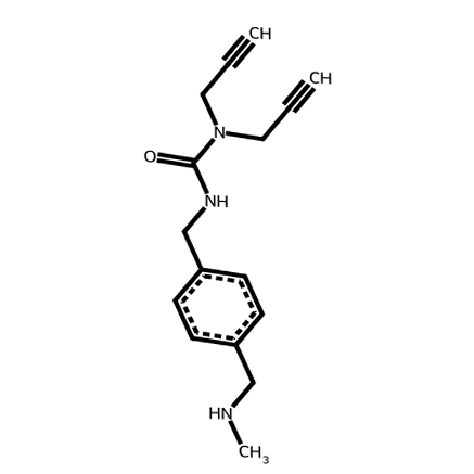 C#CCN(CC#C)C(=O)NCc1ccc(CNC)cc1